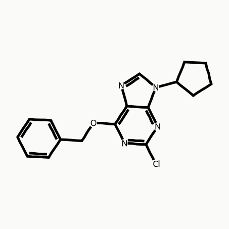 Clc1nc(OCc2ccccc2)c2ncn(C3CCCC3)c2n1